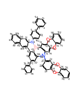 c1ccc(-c2ccc(N3B4c5cc6c(cc5N(c5ccc7c(c5)Oc5ccccc5O7)c5cc(-c7ccccc7)cc(c54)-c4cc5ccccc5cc43)Oc3ccccc3O6)cc2)cc1